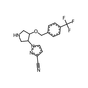 N#Cc1ccn(C2CNCC2OCc2ccc(C(F)(F)F)cc2)n1